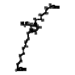 CCCCCCCCCCCCCCCCCCC[n+]1ccn(CCCCCCCCCCCCCCC)c1C